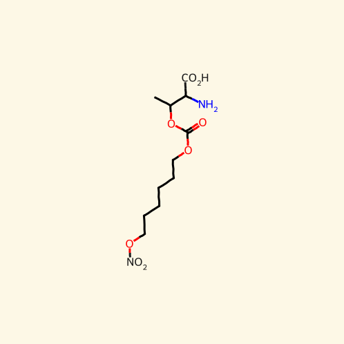 CC(OC(=O)OCCCCCCO[N+](=O)[O-])C(N)C(=O)O